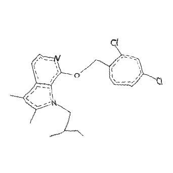 Cc1c(C)n(CC(C)C)c2c(OCc3ccc(Cl)cc3Cl)nccc12